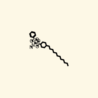 CCCCCCCCCCCCC1CCC(S(=O)(=O)C(=[N+]=[N-])S(=O)(=O)c2ccccc2)CC1